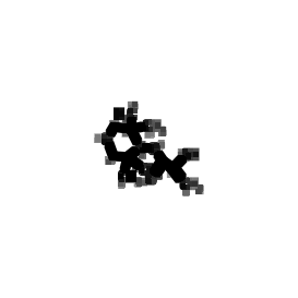 C=C(S)C(=O)ON1C(C)(C)COCC1(C)C